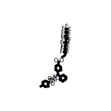 Cc1ccc(S(=O)(=O)N/N=C(\c2ccccc2)c2ccc(C(=O)OCCC(F)(F)C(F)(F)C(F)(F)C(F)(F)C(F)(F)C(F)(F)C(F)(F)C(F)(F)F)cc2)cc1